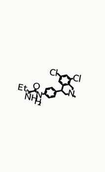 CC[C@H](N)C(=O)Nc1ccc(C2CN(C)Cc3c(Cl)cc(Cl)cc32)cc1